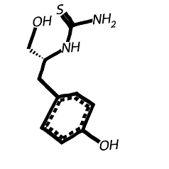 NC(=S)N[C@@H](CO)Cc1ccc(O)cc1